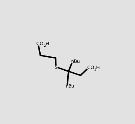 CCCCC(CCCC)(CC(=O)O)SCCC(=O)O